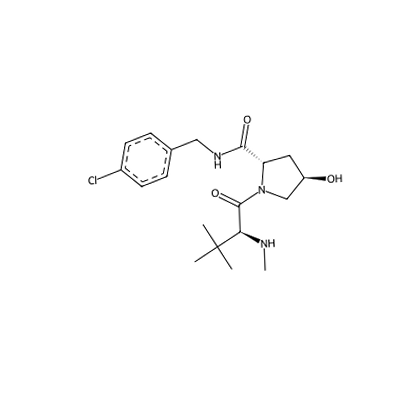 CN[C@H](C(=O)N1C[C@H](O)C[C@H]1C(=O)NCc1ccc(Cl)cc1)C(C)(C)C